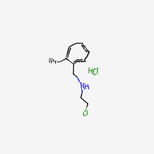 CC(C)c1ccccc1CNCCCl.Cl